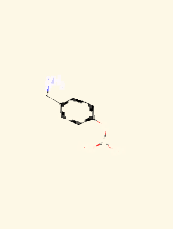 NCc1ccc(OB(O)O)cc1